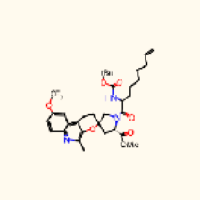 C=CCCCCC[C@H](NC(=O)OC(C)(C)C)C(=O)N1C[C@@]2(CCc3c(c(C)nc4ccc(OC(F)(F)F)cc34)O2)C[C@H]1C(=O)OC